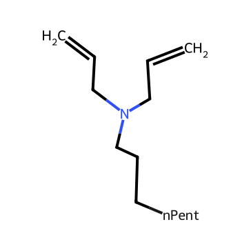 C=CCN(CC=C)CCCCCCCC